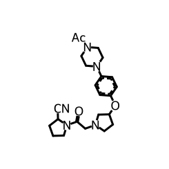 CC(=O)N1CCN(c2ccc(OC3CCN(CC(=O)N4CCCC4C#N)C3)cc2)CC1